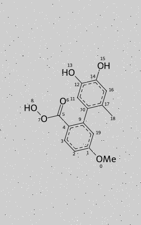 COc1ccc(C(=O)OO)c(-c2cc(O)c(O)cc2C)c1